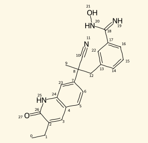 CCc1cc2ccc(C(C)(C#N)Cc3cccc(C(=N)NO)c3)cc2[nH]c1=O